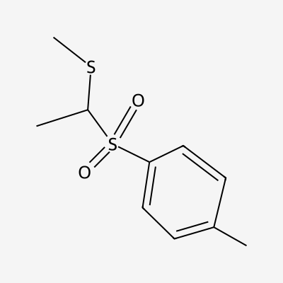 CSC(C)S(=O)(=O)c1ccc(C)cc1